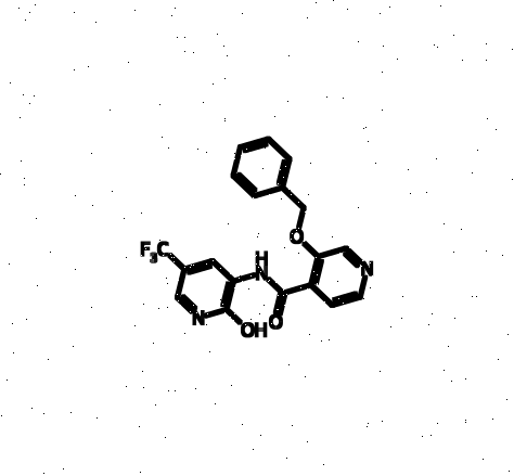 O=C(Nc1cc(C(F)(F)F)cnc1O)c1ccncc1OCc1ccccc1